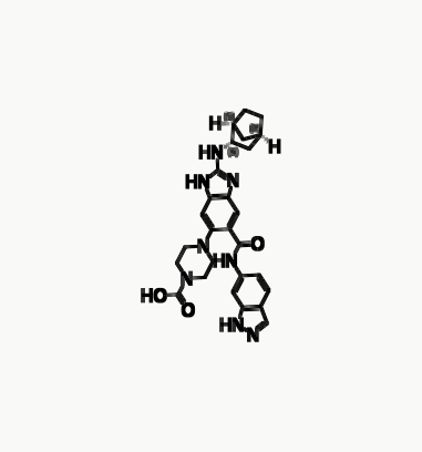 O=C(Nc1ccc2cn[nH]c2c1)c1cc2nc(N[C@H]3C[C@@H]4CC[C@H]3C4)[nH]c2cc1N1CCN(C(=O)O)CC1